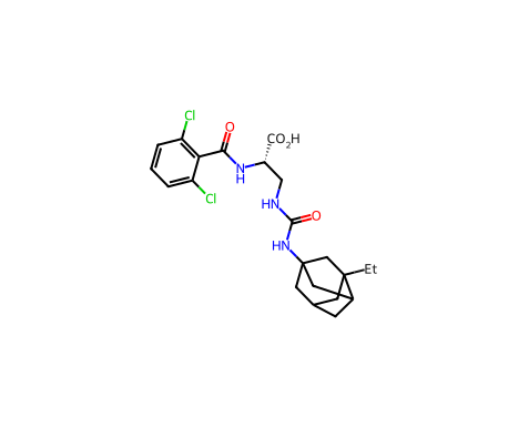 CCC12CC3CC1CC(NC(=O)NC[C@H](NC(=O)c1c(Cl)cccc1Cl)C(=O)O)(C3)C2